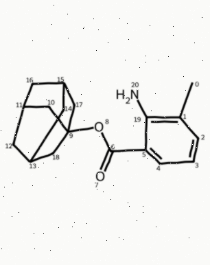 Cc1cccc(C(=O)OC23CC4CC(CC(C4)C2)C3)c1N